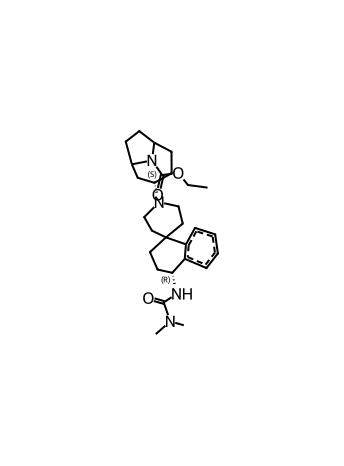 CCOC(=O)N1C2CCC1C[C@@H](N1CCC3(CC[C@@H](NC(=O)N(C)C)c4ccccc43)CC1)CC2